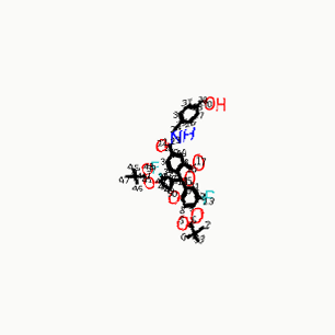 CC(C)(C)C(=O)Oc1cc2c(cc1F)C1(OC(=O)c3cc(C(=O)NCc4ccc(CO)cc4)ccc31)c1cc(F)c(OC(=O)C(C)(C)C)cc1O2